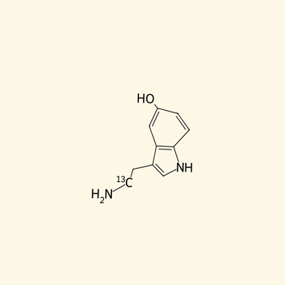 N[13CH2]Cc1c[nH]c2ccc(O)cc12